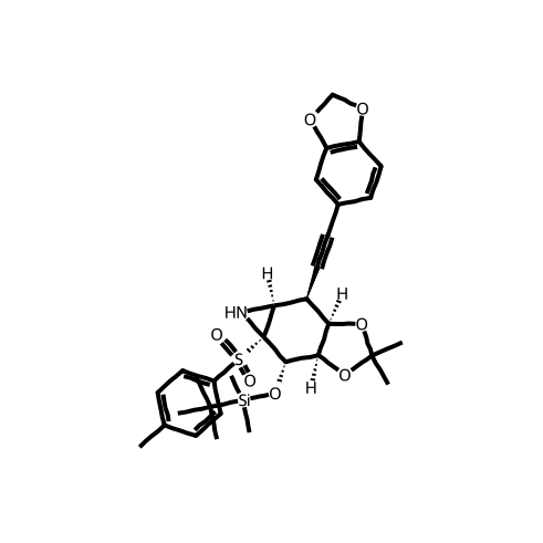 Cc1ccc(S(=O)(=O)[C@]23N[C@H]2[C@@H](C#Cc2ccc4c(c2)OCO4)[C@H]2OC(C)(C)O[C@H]2[C@@H]3O[Si](C)(C)C(C)(C)C)cc1